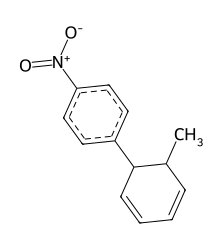 CC1C=CC=CC1c1ccc([N+](=O)[O-])cc1